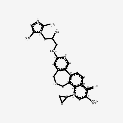 Cc1ncc([N+](=O)[O-])n1CC(CNc1cc2c(cn1)-c1ccc3c(=O)c(C(=O)O)cn(C4CC4)c3c1COC2)N=O